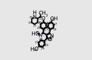 CC(Oc1ccc(/C(=N\O)c2c(-c3ccc(O)cc3)noc2-c2ccc(O)cc2)cc1)C1CCCCN1